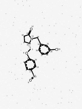 O=Nc1ccc(OC[C@@H]2CCC(=O)N2Cc2cccc(Cl)c2)cc1